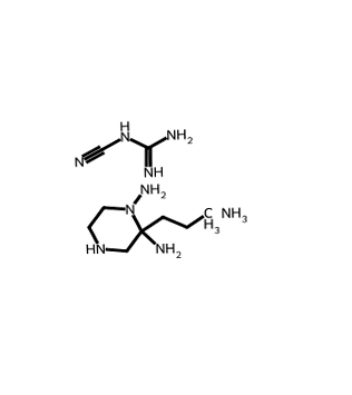 CCCC1(N)CNCCN1N.N.N#CNC(=N)N